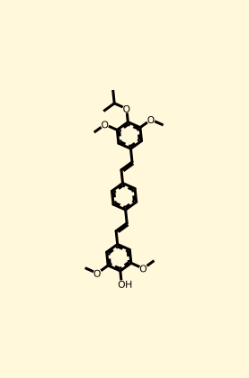 COc1cc(/C=C/c2ccc(/C=C/c3cc(OC)c(OC(C)C)c(OC)c3)cc2)cc(OC)c1O